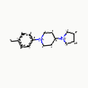 Cc1ccc(N2CCC(N3CCCC3)CC2)cc1